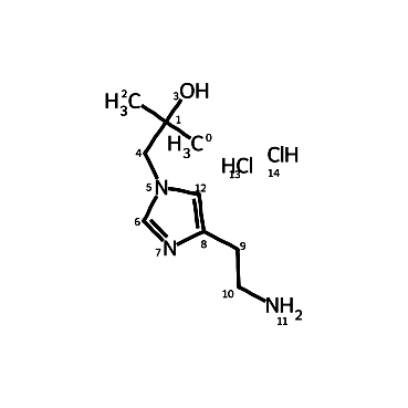 CC(C)(O)Cn1cnc(CCN)c1.Cl.Cl